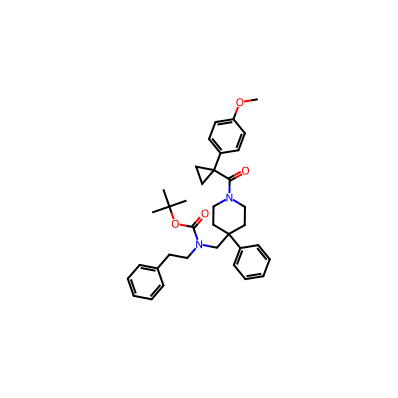 COc1ccc(C2(C(=O)N3CCC(CN(CCc4ccccc4)C(=O)OC(C)(C)C)(c4ccccc4)CC3)CC2)cc1